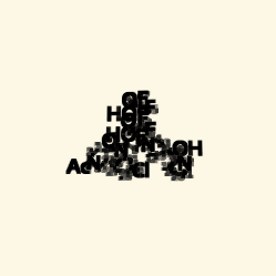 CC(=O)N1CCC(C(=O)N(CCCN2CCC(C(O)c3ccccn3)CC2)c2cccc(Cl)c2)CC1.O=C(O)C(F)(F)F.O=C(O)C(F)(F)F